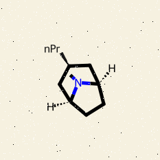 CCC[C@H]1C[C@H]2CC[C@@H](C1)N2C